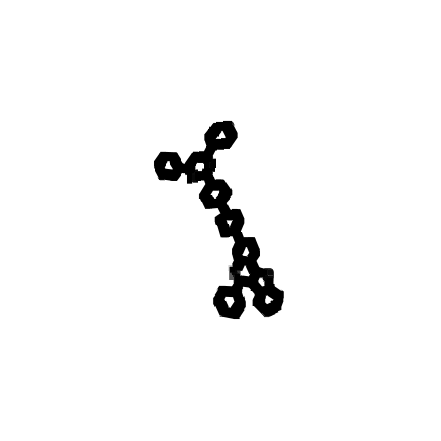 c1ccc(-c2cc(-c3ccccc3)nc(-c3ccc(-c4ccc(-c5ccc6c(c5)nc(-c5ccccc5)c5c7ccccc7oc65)cc4)cc3)n2)cc1